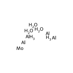 O.O.O.[AlH3].[AlH3].[Al].[Al].[Mo]